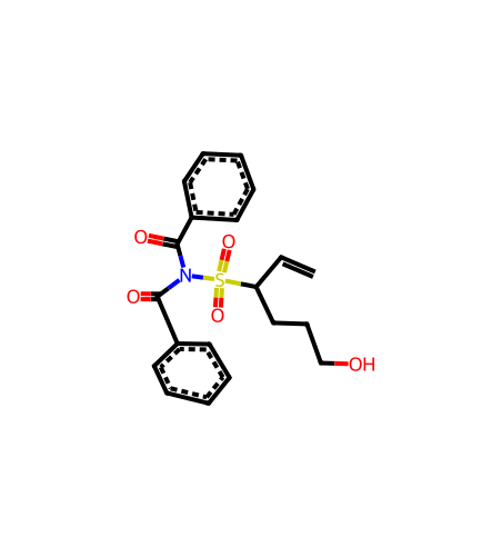 C=CC(CCCO)S(=O)(=O)N(C(=O)c1ccccc1)C(=O)c1ccccc1